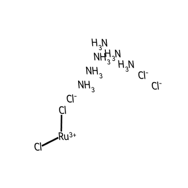 N.N.N.N.N.N.[Cl-].[Cl-].[Cl-].[Cl][Ru+3][Cl]